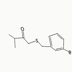 CC(C)C(=O)CSCc1cccc(Br)c1